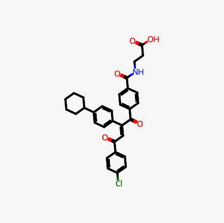 O=C(O)CCNC(=O)c1ccc(C(=O)C(=CC(=O)c2ccc(Cl)cc2)c2ccc(C3CCCCC3)cc2)cc1